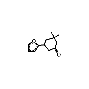 CC1(C)CC(=O)CC(c2ccco2)C1